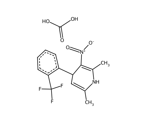 CC1=CC(c2ccccc2C(F)(F)F)C([N+](=O)[O-])=C(C)N1.O=C(O)O